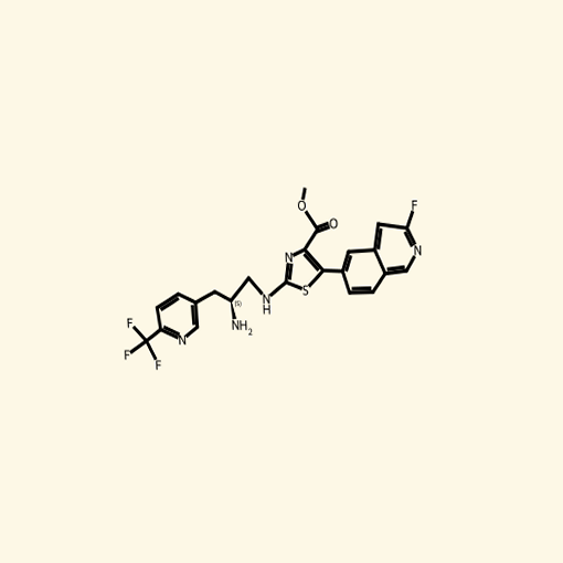 COC(=O)c1nc(NC[C@@H](N)Cc2ccc(C(F)(F)F)nc2)sc1-c1ccc2cnc(F)cc2c1